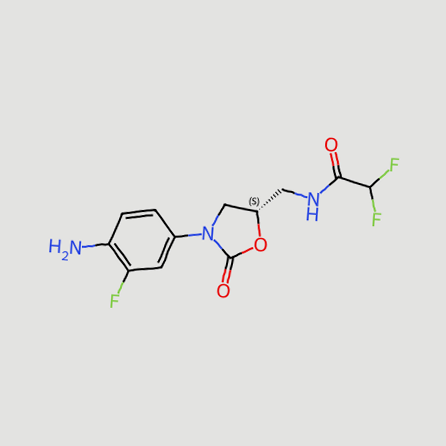 Nc1ccc(N2C[C@H](CNC(=O)C(F)F)OC2=O)cc1F